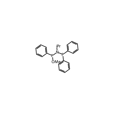 COP(c1ccccc1)N(C(C)C)P(c1ccccc1)c1ccccc1